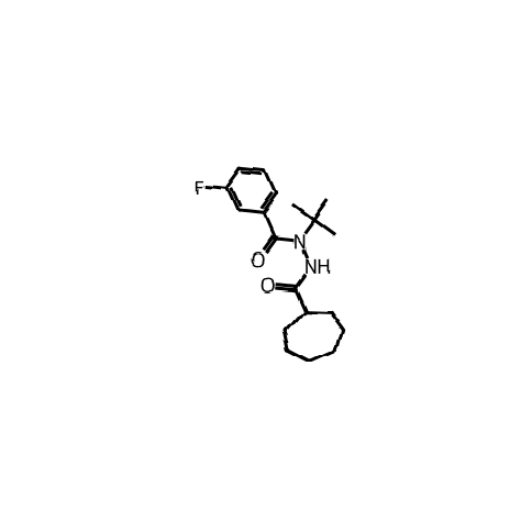 CC(C)(C)N(NC(=O)C1CCCCCC1)C(=O)c1cccc(F)c1